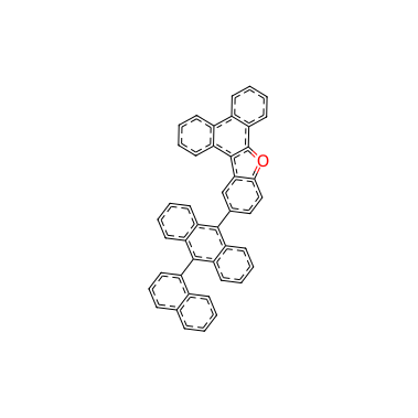 c1ccc2c(-c3c4ccccc4c(-c4ccc5oc6c7ccccc7c7ccccc7c6c5c4)c4ccccc34)cccc2c1